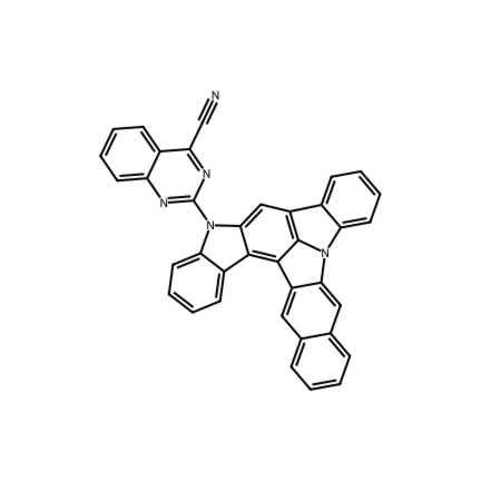 N#Cc1nc(-n2c3ccccc3c3c4c5cc6ccccc6cc5n5c6ccccc6c(cc32)c45)nc2ccccc12